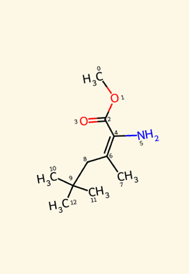 COC(=O)C(N)=C(C)CC(C)(C)C